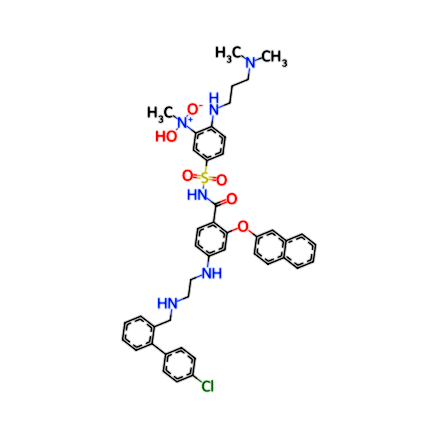 CN(C)CCCNc1ccc(S(=O)(=O)NC(=O)c2ccc(NCCNCc3ccccc3-c3ccc(Cl)cc3)cc2Oc2ccc3ccccc3c2)cc1[N+](C)([O-])O